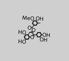 COc1cc(C(=O)O[C@@H]2Cc3c(O)cc(O)cc3O[C@@H]2c2ccc(O)c(O)c2)cc(C)c1O